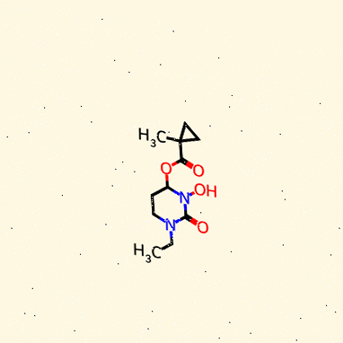 CCN1CCC(OC(=O)C2(C)CC2)N(O)C1=O